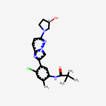 Cc1cc(Cl)c(-c2cn3nc(N4CC[C@@H](O)C4)ccc3n2)cc1NC(=O)C(C)(C)C